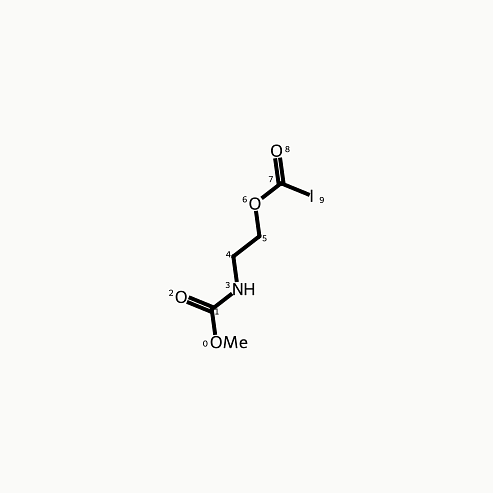 COC(=O)NCCOC(=O)I